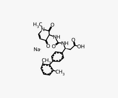 Cc1cccc(C)c1-c1ccc([C@H](CC(=O)O)NC(=O)NC2C(=O)C=CN(C)C2=O)cc1.[Na]